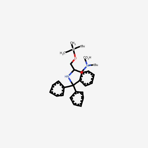 CC(C)(C)N(CC(CO[Si](C)(C)C(C)(C)C)NC(c1ccccc1)(c1ccccc1)c1ccccc1)C(=O)O